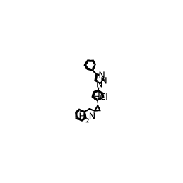 Cl.N[C@@]1(Cc2ccccc2)C[C@H]1c1ccc(-n2cc(-c3ccccc3)nn2)cc1